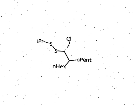 CCCCCCC(CCCCC)[C@@H](CCl)SSC(C)C